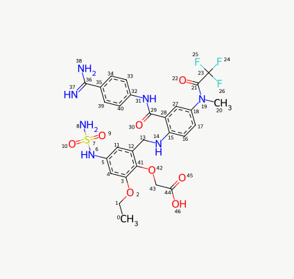 CCOc1cc(NS(N)(=O)=O)cc(CNc2ccc(N(C)C(=O)C(F)(F)F)cc2C(=O)Nc2ccc(C(=N)N)cc2)c1OCC(=O)O